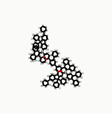 c1ccc(-c2ccc3c(c2)C(c2ccccc2)(c2ccccc2)c2cc(N(c4ccc(-c5ccc(-c6cccc(-c7c(N(c8ccc(-c9ccccc9)c(-c9ccccc9)c8)c8ccc9c(c8)C(c8ccccc8)(c8ccccc8)c8cc(-c%10ccccc%10)ccc8-9)c8ccccc8c8ccccc78)c6)cc5-c5ccccc5)cc4)c4c(-c5ccccc5)c5ccccc5c5ccccc45)ccc2-3)cc1